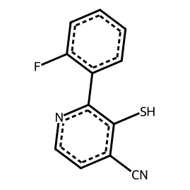 N#Cc1ccnc(-c2ccccc2F)c1S